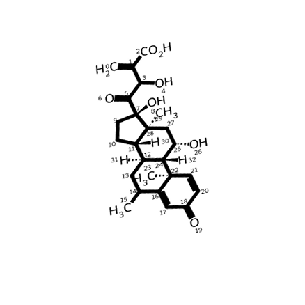 C=C(C(=O)O)C(O)C(=O)[C@@]1(O)CC[C@H]2[C@@H]3CC(C)C4=CC(=O)C=C[C@]4(C)[C@H]3[C@@H](O)C[C@@]21C